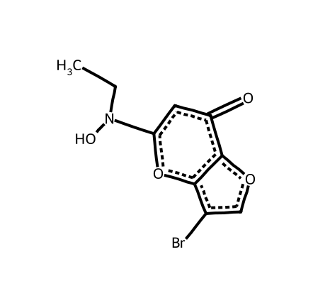 CCN(O)c1cc(=O)c2occ(Br)c2o1